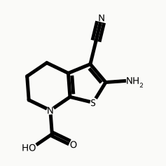 N#Cc1c(N)sc2c1CCCN2C(=O)O